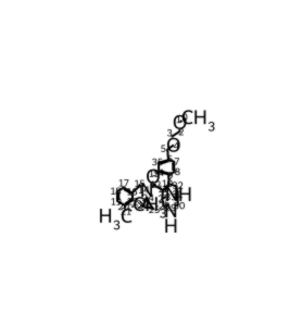 COCCOCc1ccc(C2=C(C(=O)N(Cc3cccc(C)c3C)C3CC3)C3CNCC(C2)N3)cc1